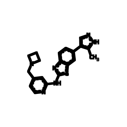 Cc1[nH]ncc1-c1ccc2nc(Nc3cc(CN4CCC4)ccn3)sc2c1